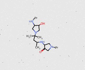 CC(C)NC1CN(C(C)(C)CC(C)NC2CN(C(C)C)CC2=O)CC1O